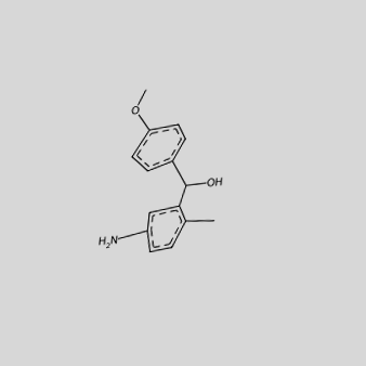 COc1ccc(C(O)c2cc(N)ccc2C)cc1